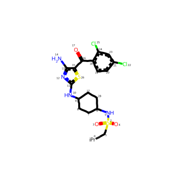 CC(C)CS(=O)(=O)NC1CCC(Nc2nc(N)c(C(=O)c3ccc(Cl)cc3Cl)s2)CC1